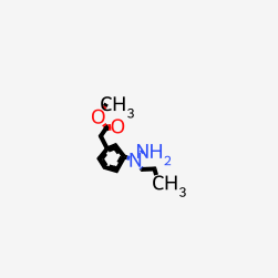 CCCN(N)c1cccc(CC(=O)OC)c1